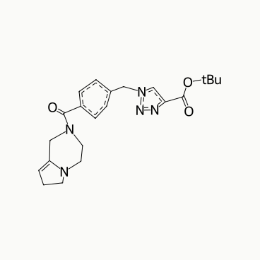 CC(C)(C)OC(=O)c1cn(Cc2ccc(C(=O)N3CCN4CCC=C4C3)cc2)nn1